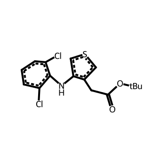 CC(C)(C)OC(=O)Cc1cscc1Nc1c(Cl)cccc1Cl